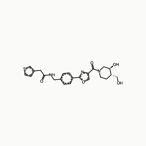 O=C(Cc1ccsc1)NCc1ccc(-c2nc(C(=O)N3CC[C@@H](CO)[C@H](O)C3)co2)cc1